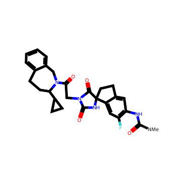 CNC(=O)Nc1cc2c(cc1F)C1(CC2)NC(=O)N(CC(=O)N2Cc3ccccc3CCC2C2CC2)C1=O